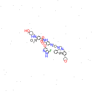 CC(C)c1ccccc1C1CN(Cc2ccc(C3CCOCC3)cc2)CCN1C1CC2(C1)CN(c1ccc(C(=O)NS(=O)(=O)c3ccc(NCC4CCC(C)(O)CC4)c([N+](=O)[O-])c3)c(Oc3cnc4[nH]cc(F)c4c3)c1)C2